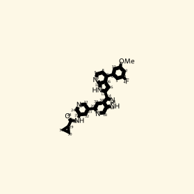 COc1cc(F)cc(-c2ccnc3[nH]c(-c4n[nH]c5cnc(-c6cncc(NC(=O)C7CC7)c6)cc45)cc23)c1